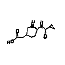 O=C(O)CC1CBC(NC(=O)C2CC2)CC1